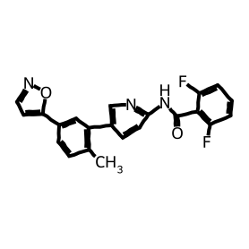 Cc1ccc(-c2ccno2)cc1-c1ccc(NC(=O)c2c(F)cccc2F)nc1